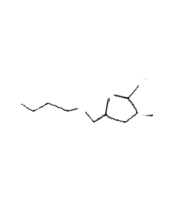 CCCCOCC1C[C@H](C)C(O)O1